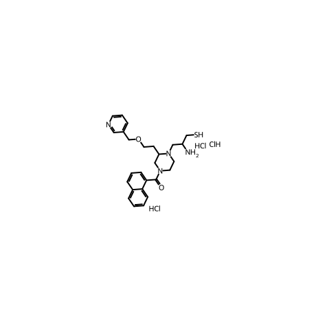 Cl.Cl.Cl.NC(CS)CN1CCN(C(=O)c2cccc3ccccc23)CC1CCOCc1cccnc1